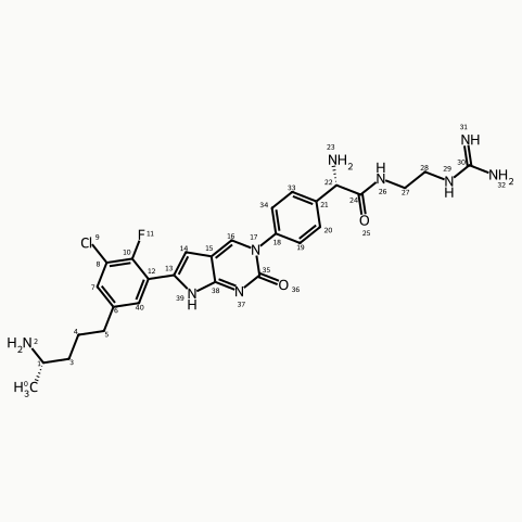 C[C@H](N)CCCc1cc(Cl)c(F)c(-c2cc3cn(-c4ccc([C@H](N)C(=O)NCCNC(=N)N)cc4)c(=O)nc3[nH]2)c1